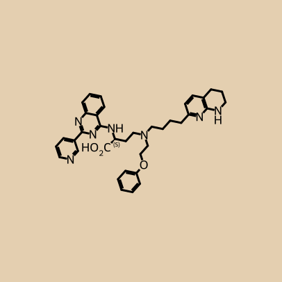 O=C(O)[C@H](CCN(CCCCc1ccc2c(n1)NCCC2)CCOc1ccccc1)Nc1nc(-c2cccnc2)nc2ccccc12